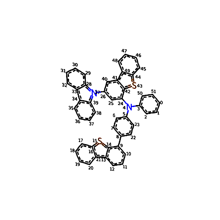 c1ccc(N(c2ccc(-c3cccc4c3sc3ccccc34)cc2)c2cc(-n3c4ccccc4c4ccccc43)cc3c2sc2ccccc23)cc1